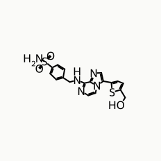 NS(=O)(=O)c1ccc(CNc2nccn3c(-c4ccc(CO)s4)cnc23)cc1